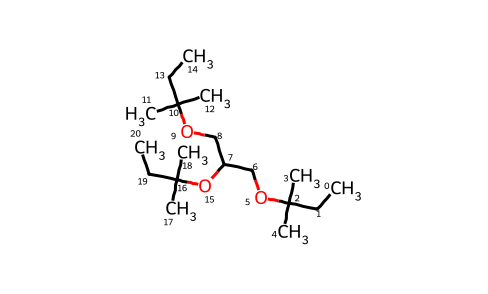 CCC(C)(C)OCC(COC(C)(C)CC)OC(C)(C)CC